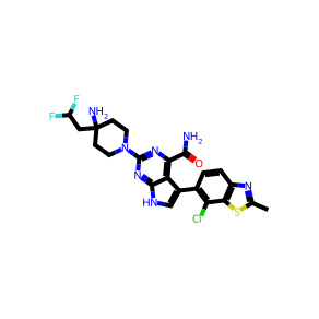 Cc1nc2ccc(-c3c[nH]c4nc(N5CCC(N)(CC(F)F)CC5)nc(C(N)=O)c34)c(Cl)c2s1